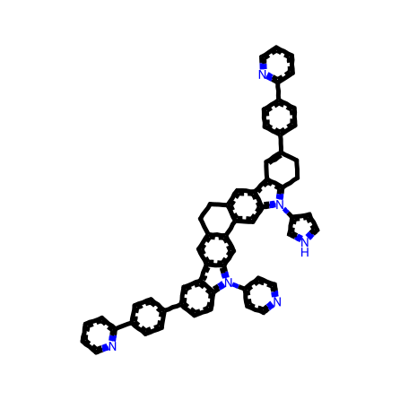 C1=C(c2ccc(-c3ccccn3)cc2)CCc2c1c1cc3c(cc1n2-c1cc[nH]c1)-c1cc2c(cc1CC3)c1cc(-c3ccc(-c4ccccn4)cc3)ccc1n2-c1ccncc1